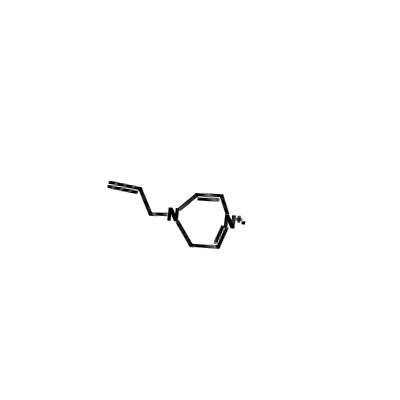 C=CCN1C=C[N+]=CC1